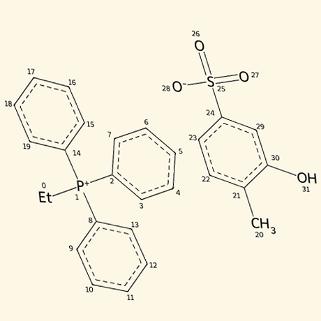 CC[P+](c1ccccc1)(c1ccccc1)c1ccccc1.Cc1ccc(S(=O)(=O)[O-])cc1O